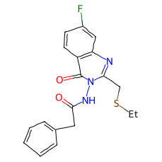 CCSCc1nc2cc(F)ccc2c(=O)n1NC(=O)Cc1ccccc1